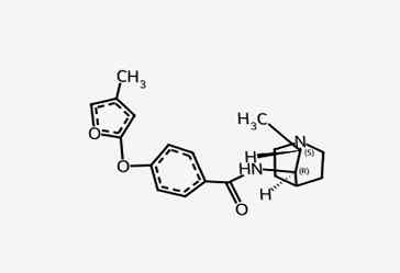 Cc1coc(Oc2ccc(C(=O)N[C@@H]3C4CCN(CC4)[C@H]3C)cc2)c1